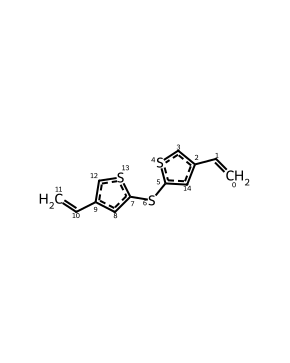 C=Cc1csc(Sc2cc(C=C)cs2)c1